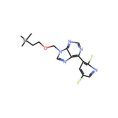 C[Si](C)(C)CCOCn1cnc2c(-c3cc(F)cnc3F)ncnc21